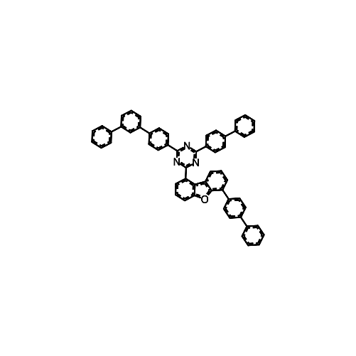 c1ccc(-c2ccc(-c3nc(-c4ccc(-c5cccc(-c6ccccc6)c5)cc4)nc(-c4cccc5oc6c(-c7ccc(-c8ccccc8)cc7)cccc6c45)n3)cc2)cc1